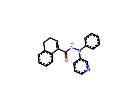 O=C(NN(c1ccccc1)c1cccnc1)C1=CCCc2ccccc21